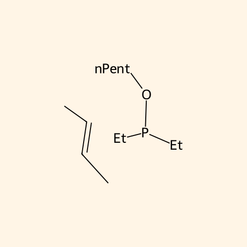 CC=CC.CCCCCOP(CC)CC